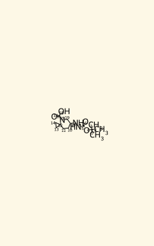 CC(C)(C)OC(=O)NNC1CCC2(CC2)N(C(=O)O)C1